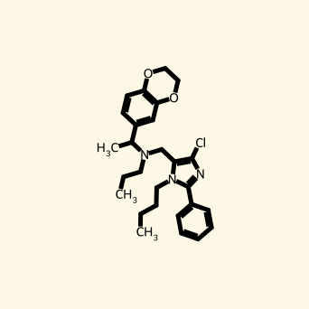 CCCCn1c(-c2ccccc2)nc(Cl)c1CN(CCC)C(C)c1ccc2c(c1)OCCO2